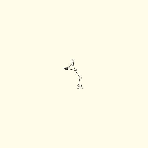 CCC1BB1